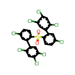 O=S(=O)(c1ccc(Cl)cc1-c1cc(Cl)c(Cl)cc1Cl)c1ccc(Cl)cc1-c1cc(Cl)c(Cl)cc1Cl